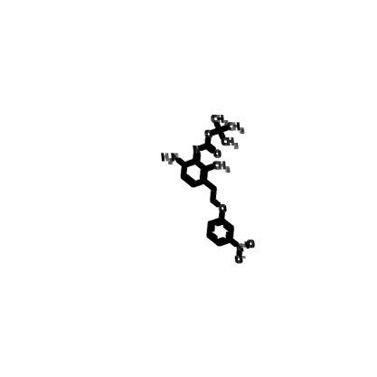 CC1=C(CCOc2cccc([N+](=O)[O-])c2)C=CC(N)C1=NC(=O)OC(C)(C)C